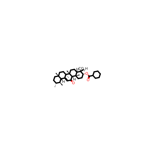 C[C@H]1[C@H](C)CC[C@]2(C)CC[C@]3(C)C(=CC(=O)[C@@H]4[C@@]5(C)CC[C@@H](OC(=O)C6CCCCC6)[C@](C)(C(=O)O)[C@@H]5CC[C@]43C)[C@H]12